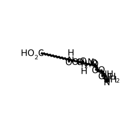 CC(C)(CC(=O)C(C)(C)CC(=O)C(C)(C)NC(=O)[C@@H](N)Cc1cnc[nH]1)C(=O)C[C@@H](CCCCNC(=O)COCCOCCNC(=O)CCCCCCCCCCCCCCCCCCC(=O)O)C(N)=O